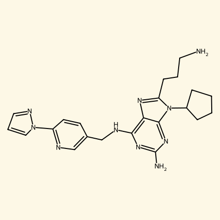 NCCCc1nc2c(NCc3ccc(-n4cccn4)nc3)nc(N)nc2n1C1CCCC1